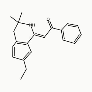 CCc1ccc2c(c1)/C(=C/C(=O)c1ccccc1)NC(C)(C)C2